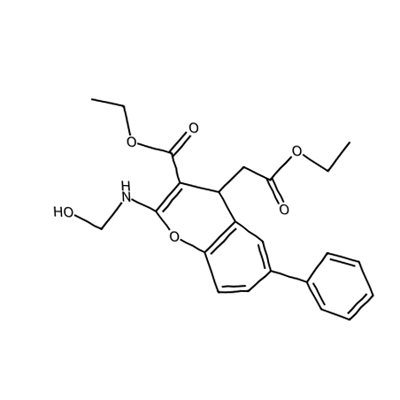 CCOC(=O)CC1C(C(=O)OCC)=C(NCO)Oc2ccc(-c3ccccc3)cc21